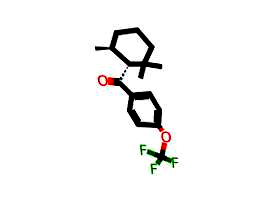 C[C@H]1CCCC(C)(C)[C@@H]1C(=O)c1ccc(OC(F)(F)F)cc1